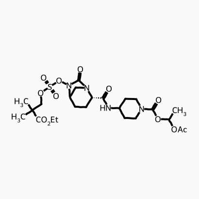 CCOC(=O)C(C)(C)COS(=O)(=O)ON1C(=O)N2CC1CC[C@H]2C(=O)NC1CCN(C(=O)OC(C)OC(C)=O)CC1